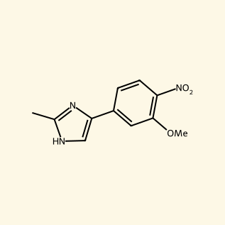 COc1cc(-c2c[nH]c(C)n2)ccc1[N+](=O)[O-]